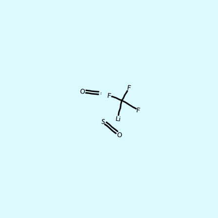 O=S.[C]=O.[Li][C](F)(F)F